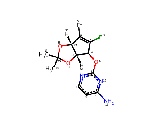 CCC1=C(F)[C@@H](Oc2nccc(N)n2)[C@@H]2OC(C)(C)O[C@H]12